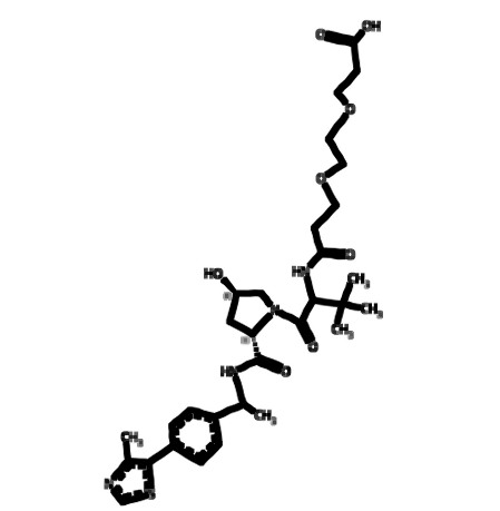 Cc1ncsc1-c1ccc(C(C)NC(=O)[C@@H]2C[C@@H](O)CN2C(=O)C(NC(=O)CCOCCOCCC(=O)O)C(C)(C)C)cc1